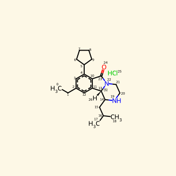 CCc1cc(C2CCCC2)c2c(c1)[C@H]1C(CC(C)C)NCCN1C2=O.Cl